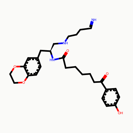 N=CCCCNC[C@H](Cc1ccc2c(c1)OCCO2)NC(=O)CCCCCC(=O)c1ccc(O)cc1